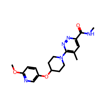 CNC(=O)c1cc(C)c(N2CCC(Oc3ccc(OC)nc3)CC2)nn1